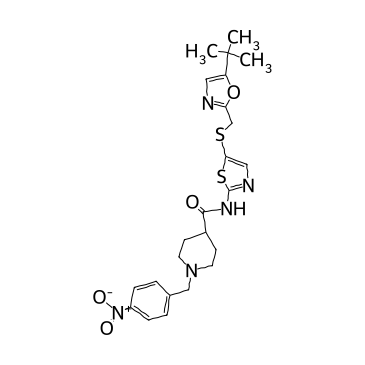 CC(C)(C)c1cnc(CSc2cnc(NC(=O)C3CCN(Cc4ccc([N+](=O)[O-])cc4)CC3)s2)o1